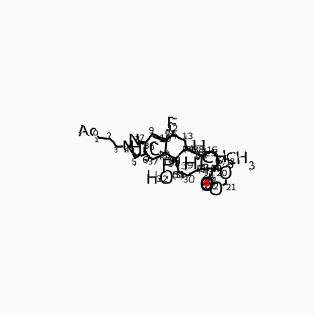 CC(=O)CCCn1cc2c(n1)C=C1[C@@H](F)C[C@H]3[C@@H]4C[C@H](C)[C@@]5(OCOC56COCO6)[C@@]4(C)C[C@H](O)[C@]3(F)[C@@]1(C)C2